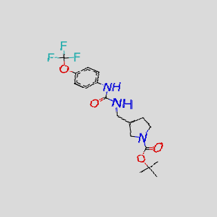 CC(C)(C)OC(=O)N1CCC(CNC(=O)Nc2ccc(OC(F)(F)F)cc2)C1